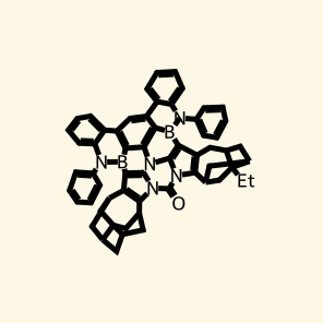 CCC12CC3CC1CC2Cc1c2c4n5c6c(c7c(n6c(=O)n4c13)C1CC3CC4CC7CC43C1)B1c3c(cc4c(c3-5)B2N(c2ccccc2)c2ccccc2-4)-c2ccccc2N1c1ccccc1